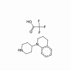 O=C(O)C(F)(F)F.c1ccc2c(c1)CCCN2C1CCNCC1